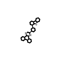 c1cc(-c2cnc3c4ccccc4c4ccccc4c3n2)cc(-c2cccc3c2sc2ccccc23)c1